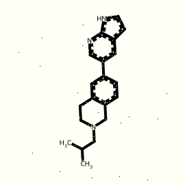 C[C](C)CN1CCc2cc(-c3cnc4[nH]ccc4c3)ccc2C1